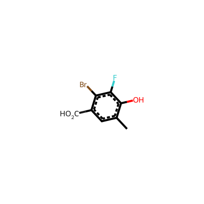 Cc1cc(C(=O)O)c(Br)c(F)c1O